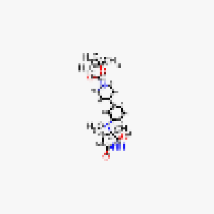 CN(c1cccc(C2CCN(C(=O)OC(C)(C)C)CC2)c1)[C@]1(C)CCC(=O)NC1=O